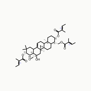 C/C=C(\C)C(=O)OC[C@@H]1C2CC[C@]3(C)C(CC=C4C5CC(C)(C)[C@@H](OC(=O)/C(C)=C/C)C[C@]5(CO)[C@H](O)C[C@]43C)[C@@]2(C)CC[C@@H]1OC(=O)/C(C)=C/C